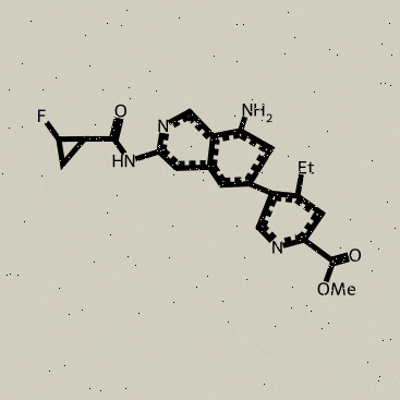 CCc1cc(C(=O)OC)ncc1-c1cc(N)c2cnc(NC(=O)C3CC3F)cc2c1